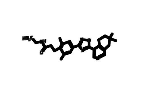 Cc1cc(-c2noc(-c3cncc4c3CCC(C)(C)C4)n2)cc(C)c1CCC(=O)NCC(=O)O